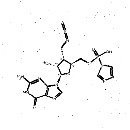 [N-]=[N+]=NC[C@H]1[C@@H](O)[C@H](n2cnc3c(=O)[nH]c(N)nc32)O[C@@H]1COP(=O)(O)n1ccnc1